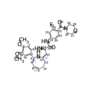 COc1ccc(/C2=C/C=C\CC/C(=C/C(=N)C(=O)Nc3ccc(C(=O)N4CCOCC4)c(F)c3)N2)cc1OC